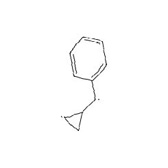 [CH]1CC1[CH]c1ccccc1